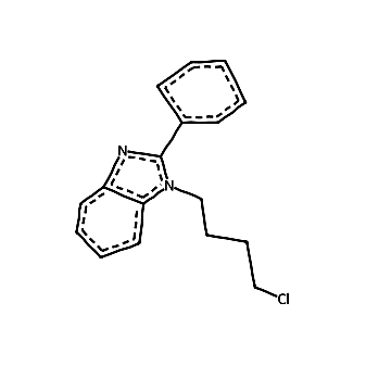 ClCCCCn1c(-c2ccccc2)nc2ccccc21